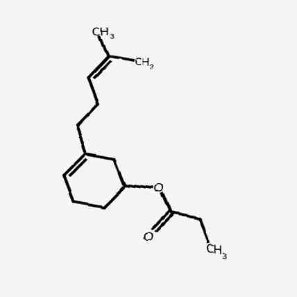 CCC(=O)OC1CCC=C(CCC=C(C)C)C1